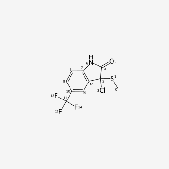 CSC1(Cl)C(=O)Nc2ccc(C(F)(F)F)cc21